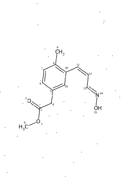 COC(=O)Cc1ccc(C)c(/C=C\C=N\O)c1